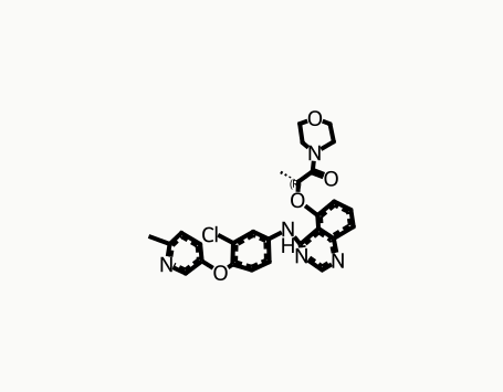 Cc1ccc(Oc2ccc(Nc3ncnc4cccc(O[C@H](C)C(=O)N5CCOCC5)c34)cc2Cl)cn1